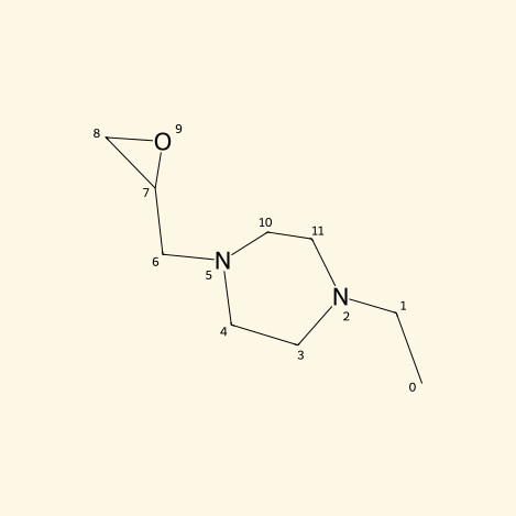 CCN1CCN(CC2CO2)CC1